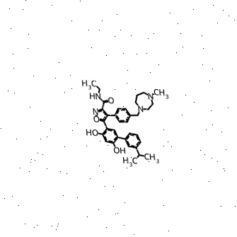 CCNC(=O)c1noc(-c2cc(-c3cccc(C(C)C)c3)c(O)cc2O)c1-c1ccc(CN2CCCN(C)CC2)cc1